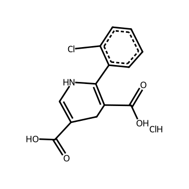 Cl.O=C(O)C1=CNC(c2ccccc2Cl)=C(C(=O)O)C1